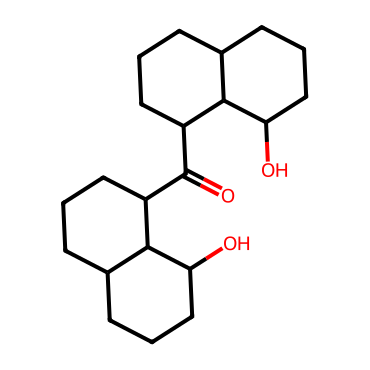 O=C(C1CCCC2CCCC(O)C21)C1CCCC2CCCC(O)C21